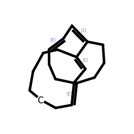 C1=C(\C2=C\C=C\CCCCCC2)CCCCCC/C=C/1